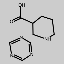 O=C(O)C1CCCNC1.c1ncncn1